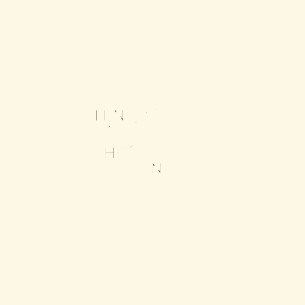 NC(=O)[C@H](O)[CH]N1CCCC1C1CC1